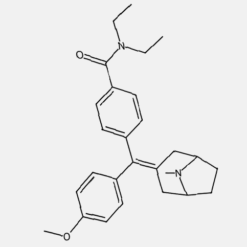 CCN(CC)C(=O)c1ccc(C(=C2CC3CCC(C2)N3C)c2ccc(OC)cc2)cc1